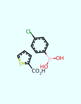 O=C(O)c1cccs1.OB(O)c1ccc(Cl)cc1